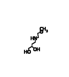 COCCNCCC(O)CO